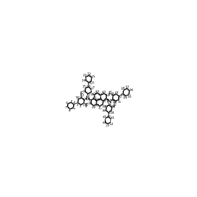 Fc1cc(-c2ccccc2)cc(F)c1N(c1ccc(-c2ccccc2)cc1)c1ccc2ccc3c(N(c4ccc(-c5ccccc5)cc4)c4c(F)cc(-c5ccccc5)cc4F)ccc4ccc1c2c43